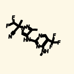 CNc1nc(Nc2cn(C(C)(C#N)C(F)F)nc2C)ncc1C(F)(F)F